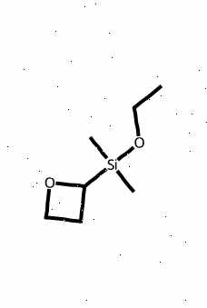 CCO[Si](C)(C)C1CCO1